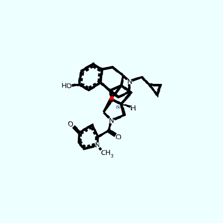 Cn1ccc(=O)cc1C(=O)N1C[C@H]2CC34CCC1C2C31CCN(CC2CC2)C4Cc2ccc(O)cc21